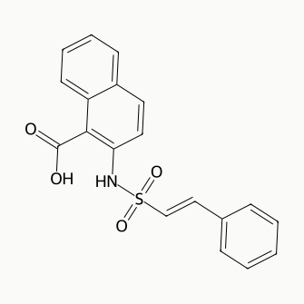 O=C(O)c1c(NS(=O)(=O)C=Cc2ccccc2)ccc2ccccc12